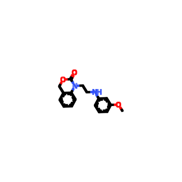 COc1cccc(NCCN2C(=O)OCc3ccccc32)c1